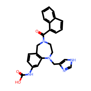 O=C(O)Nc1ccc2c(c1)N(Cc1c[nH]cn1)CCN(C(=O)c1cccc3ccccc13)C2